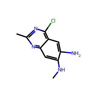 CNc1cc2nc(C)nc(Cl)c2cc1N